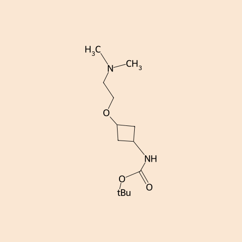 CN(C)CCOC1CC(NC(=O)OC(C)(C)C)C1